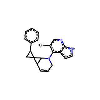 Cc1cnc2[nH]ccc2c1N1CC=CC2C1C21CC1c1ccccc1